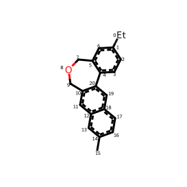 CCc1ccc2c(c1)COCc1cc3cc(C)ccc3cc1-2